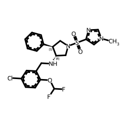 Cn1cnc(S(=O)(=O)N2C[C@H](NCc3cc(Cl)ccc3OC(F)F)[C@@H](c3ccccc3)C2)c1